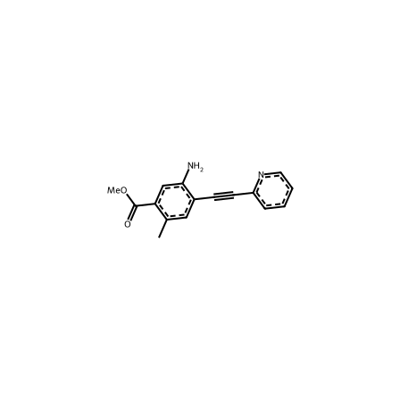 COC(=O)c1cc(N)c(C#Cc2ccccn2)cc1C